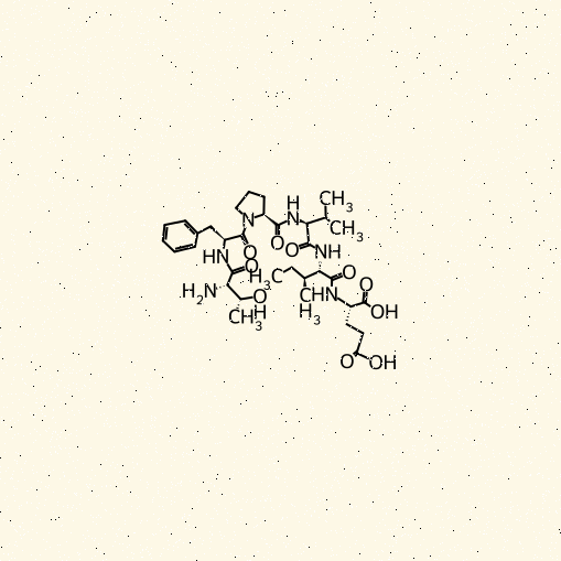 CC[C@H](C)[C@H](NC(=O)[C@@H](NC(=O)[C@@H]1CCCN1C(=O)[C@H](Cc1ccccc1)NC(=O)[C@@H](N)[C@@H](C)O)C(C)C)C(=O)N[C@@H](CCC(=O)O)C(=O)O